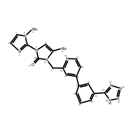 CCCCc1cn(-c2nccn2C(C)(C)C)c(=O)n1Cc1cc(-c2cccc(-c3nnn[nH]3)c2)ccn1